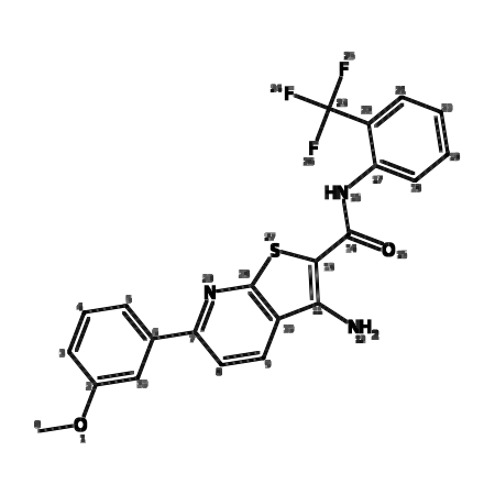 COc1cccc(-c2ccc3c(N)c(C(=O)Nc4ccccc4C(F)(F)F)sc3n2)c1